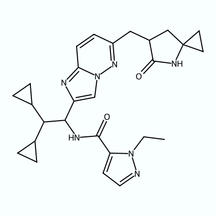 CCn1nccc1C(=O)NC(c1cn2nc(CC3CC4(CC4)NC3=O)ccc2n1)C(C1CC1)C1CC1